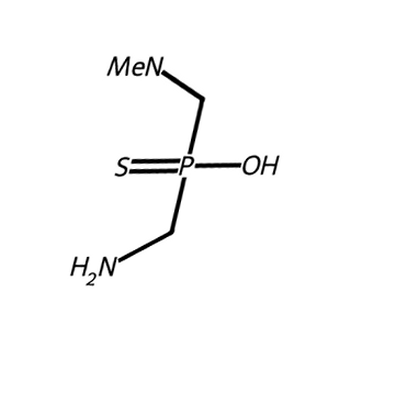 CNCP(O)(=S)CN